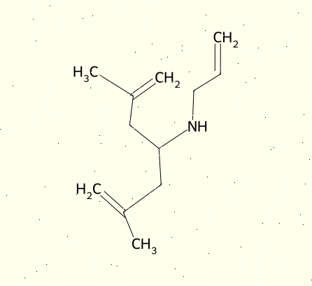 C=CCNC(CC(=C)C)CC(=C)C